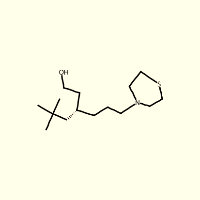 CC(C)(C)C[C@H](CCO)CCCN1CCSCC1